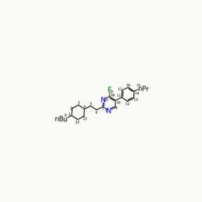 CCCCC1CCC(CCc2ncc(-c3ccc(CCC)cc3)c(F)n2)CC1